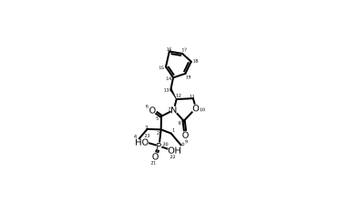 CCC(CC)(C(=O)N1C(=O)OC[C@@H]1Cc1ccccc1)P(=O)(O)O